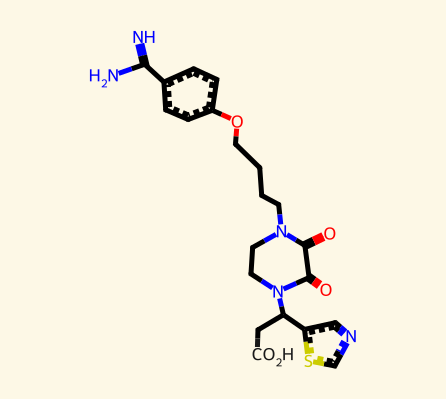 N=C(N)c1ccc(OCCCCN2CCN(C(CC(=O)O)c3cncs3)C(=O)C2=O)cc1